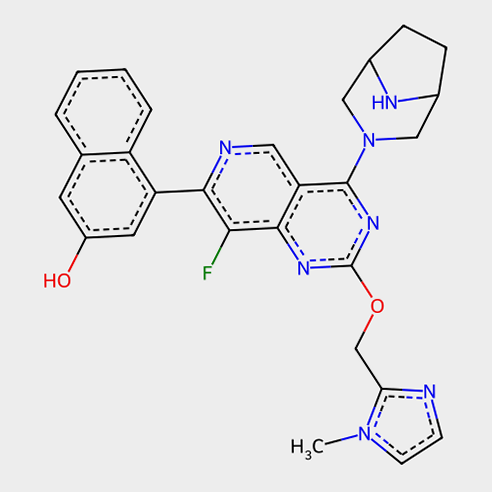 Cn1ccnc1COc1nc(N2CC3CCC(C2)N3)c2cnc(-c3cc(O)cc4ccccc34)c(F)c2n1